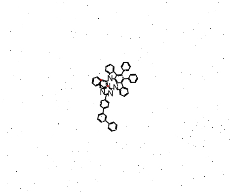 c1ccc(-c2cccc(-c3ccc(-c4nc(-c5ccccc5)nc(-n5c6ccccc6c6c(-c7ccccc7)c(-c7ccccc7)c7c8ccccc8n(-c8ccccc8)c7c65)n4)cc3)c2)cc1